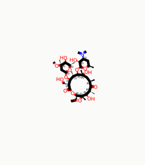 CC[C@H]1OC(=O)[C@H](CO)[C@@H](O[C@H]2C[C@@](C)(OC)[C@@H](O)[C@H](C)O2)[C@H](C)[C@@H](O[C@@H]2O[C@H](C)C[C@H](N(C)C)[C@H]2O)[C@](C)(O)C[C@@H](C)C(=O)[C@H](C)[C@@H](O)[C@]1(C)O